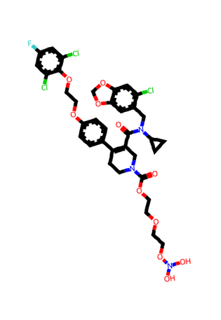 O=C(OCCOCCON(O)O)N1CCC(c2ccc(OCCOc3c(Cl)cc(F)cc3Cl)cc2)=C(C(=O)N(Cc2cc3c(cc2Cl)OCO3)C2CC2)C1